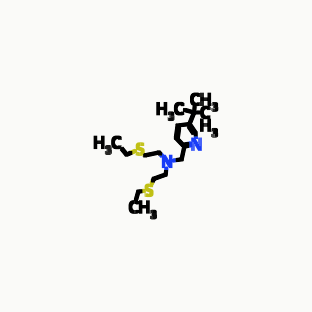 CCSCCN(CCSCC)Cc1ccc(C(C)(C)C)cn1